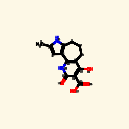 Cc1cc2c([nH]1)CCCc1c-2[nH]c(=O)c(C(=O)O)c1O